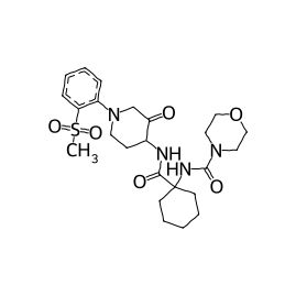 CS(=O)(=O)c1ccccc1N1CCC(NC(=O)C2(NC(=O)N3CCOCC3)CCCCC2)C(=O)C1